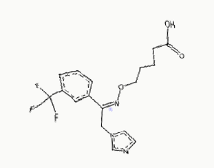 O=C(O)CCCCO/N=C(/Cn1ccnc1)c1cccc(C(F)(F)F)c1